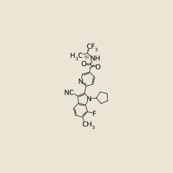 Cc1ccc2c(C#N)c(-c3ccc(S(=O)(=O)N[C@@H](C)C(F)(F)F)cn3)n(C3CCCC3)c2c1F